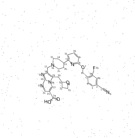 N#Cc1ccc(COc2cccc(C3CCN(Cc4nc5ncc(C(=O)O)cn5c4CC4CCO4)CC3)n2)c(F)c1